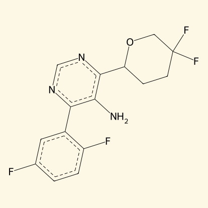 Nc1c(-c2cc(F)ccc2F)ncnc1C1CCC(F)(F)CO1